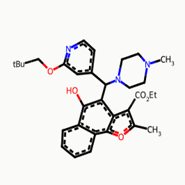 CCOC(=O)c1c(C)oc2c1c(C(c1ccnc(OCC(C)(C)C)c1)N1CCN(C)CC1)c(O)c1ccccc12